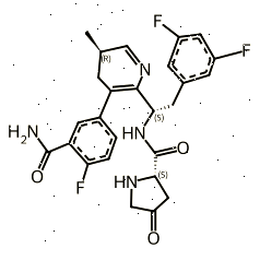 C[C@H]1C=NC([C@H](Cc2cc(F)cc(F)c2)NC(=O)[C@@H]2CC(=O)CN2)=C(c2ccc(F)c(C(N)=O)c2)C1